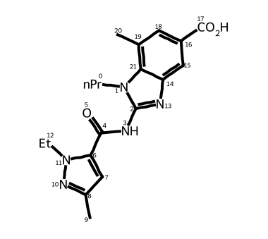 CCCn1c(NC(=O)c2cc(C)nn2CC)nc2cc(C(=O)O)cc(C)c21